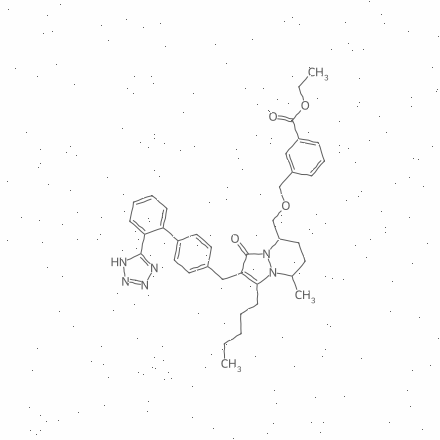 CCCCCc1c(Cc2ccc(-c3ccccc3-c3nnn[nH]3)cc2)c(=O)n2n1C(C)CCC2COCc1cccc(C(=O)OCC)c1